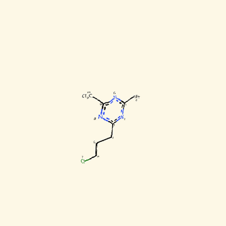 CCCc1nc(CCCCl)nc(C(Cl)(Cl)Cl)n1